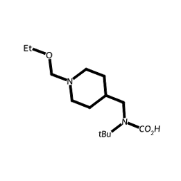 CCOCN1CCC(CN(C(=O)O)C(C)(C)C)CC1